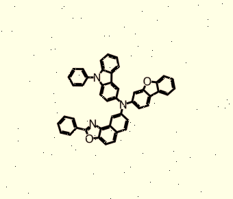 c1ccc(-c2nc3c(ccc4ccc(N(c5ccc6c(c5)oc5ccccc56)c5ccc6c(c5)c5ccccc5n6-c5ccccc5)cc43)o2)cc1